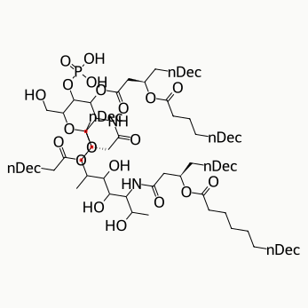 CCCCCCCCCCCCCCCC(=O)O[C@H](CCCCCCCCCCC)CC(=O)NC(C(C)O)C(O)C(O)C(C)COC1OC(CO)C(OP(=O)(O)O)C(OC(=O)C[C@@H](CCCCCCCCCCC)OC(=O)CCCCCCCCCCCCC)C1NC(=O)C[C@@H](CCCCCCCCCCC)OC(=O)CCCCCCCCCCC